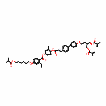 C=C(C)C(=O)OCCCCCCOc1ccc(C(=O)Oc2ccc(OC(=O)/C=C/c3ccc(-c4ccc(OCCC(COC(=O)C(=C)C)COC(=O)C(=C)C)cc4)cc3)c(C)c2)c(CC)c1